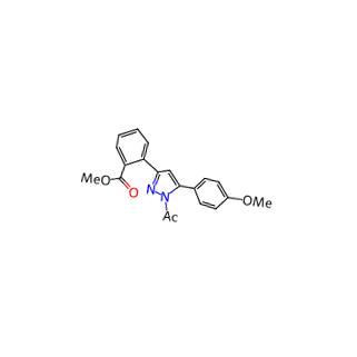 COC(=O)c1ccccc1-c1cc(-c2ccc(OC)cc2)n(C(C)=O)n1